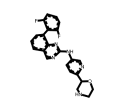 Fc1cccc(F)c1-c1cccc2cnc(Nc3ccc(C4CNCCO4)nc3)nc12